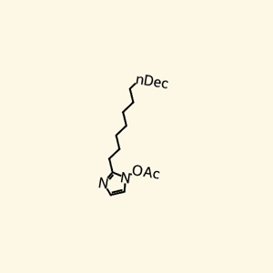 CCCCCCCCCCCCCCCCCc1nccn1OC(C)=O